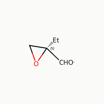 CC[C@@]1([C]=O)CO1